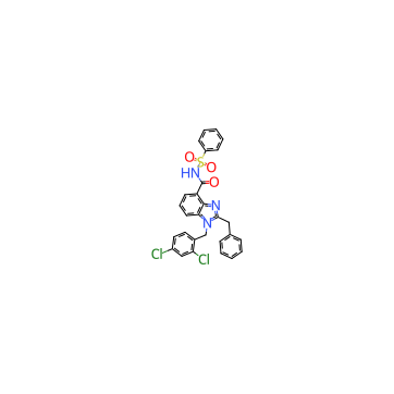 O=C(NS(=O)(=O)c1ccccc1)c1cccc2c1nc(Cc1ccccc1)n2Cc1ccc(Cl)cc1Cl